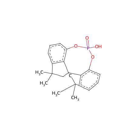 CC1(C)CC23CC(C)(C)c4cccc(c42)OP(=O)(O)Oc2cccc1c23